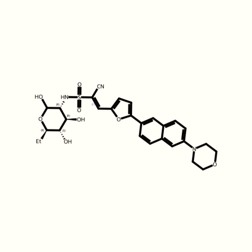 CC[C@H]1OC(O)[C@H](NS(=O)(=O)/C(C#N)=C/c2ccc(-c3ccc4cc(N5CCOCC5)ccc4c3)o2)[C@@H](O)[C@@H]1O